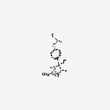 CC(C)(C)[S+]([O-])NC(F)(c1ccc(OC(F)F)cc1)C(F)F